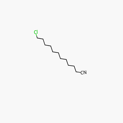 N#CCCCCCCCCCCCCl